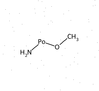 C[O][Po][NH2]